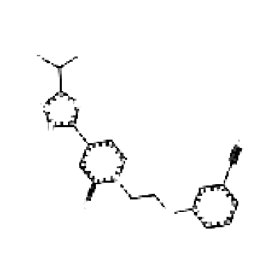 N#Cc1cccc(OCCn2ccc(-c3nnc(C(F)F)o3)cc2=O)c1